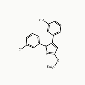 CCOC(=O)Oc1cc(-c2cccc(O)c2)n(-c2cccc(Cl)c2)n1